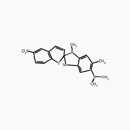 Cc1cc2c(cc1N(C)C)[Se]C1(C=Cc3cc([N+](=O)[O-])ccc3S1)N2C